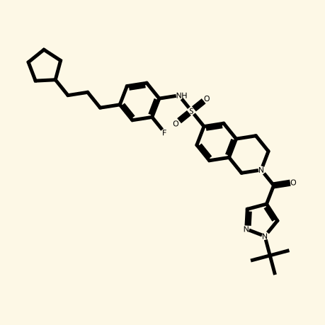 CC(C)(C)n1cc(C(=O)N2CCc3cc(S(=O)(=O)Nc4ccc(CCCC5CCCC5)cc4F)ccc3C2)cn1